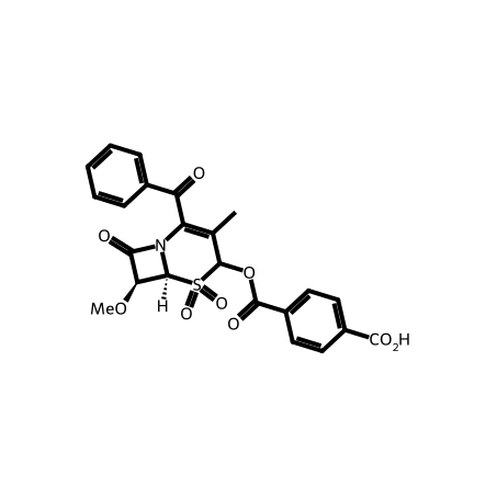 CO[C@H]1C(=O)N2C(C(=O)c3ccccc3)=C(C)C(OC(=O)c3ccc(C(=O)O)cc3)S(=O)(=O)[C@@H]12